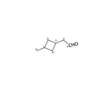 CC1CC(CC=O)C1